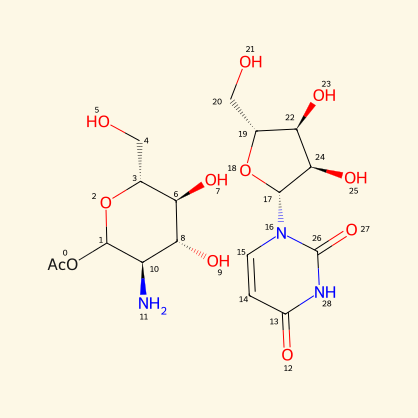 CC(=O)OC1O[C@H](CO)[C@@H](O)[C@H](O)[C@H]1N.O=c1ccn([C@@H]2O[C@H](CO)[C@@H](O)[C@H]2O)c(=O)[nH]1